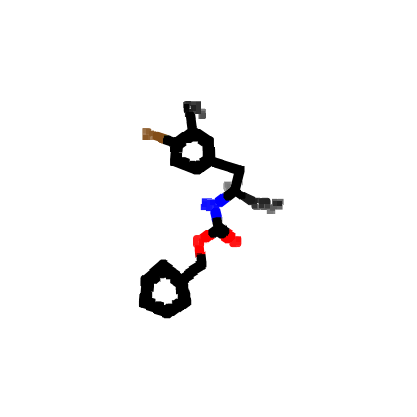 Cc1cc(C[C@H](NC(=O)OCc2ccccc2)C(=O)O)ccc1Br